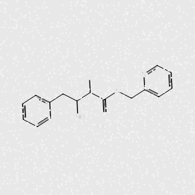 Cl.NC(Cc1ccccc1)C(O)C(=O)NCc1ccccn1